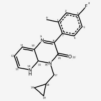 Cc1cc(F)ccc1C1=NC2=CC=CNC2N(CC2CC2)C1=O